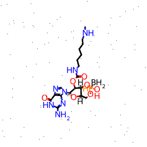 B[PH]1(O)OC[C@H]2O[C@@H](n3cnc4c(=O)[nH]c(N)nc43)C(OC(=O)NCCCCCCNC)[C@H]2O1